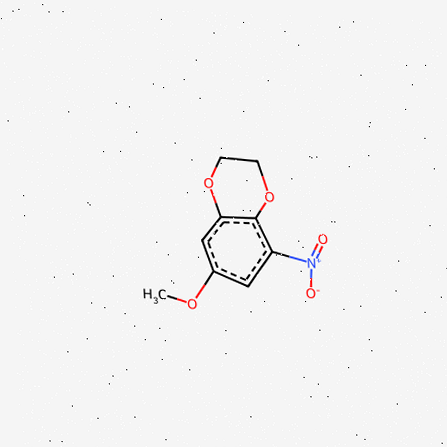 COc1cc2c(c([N+](=O)[O-])c1)OCCO2